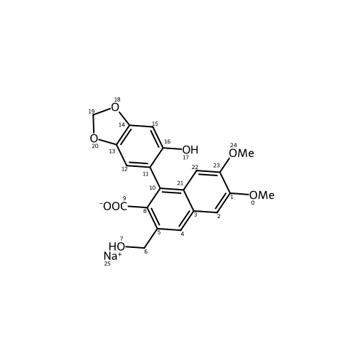 COc1cc2cc(CO)c(C(=O)[O-])c(-c3cc4c(cc3O)OCO4)c2cc1OC.[Na+]